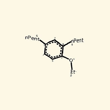 C[CH]Oc1ccc(CCCCC)cc1CCCCC